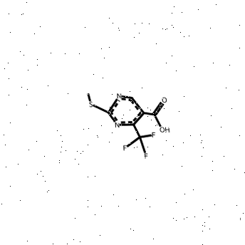 CSc1ncc(C(=O)O)c(C(F)(F)F)n1